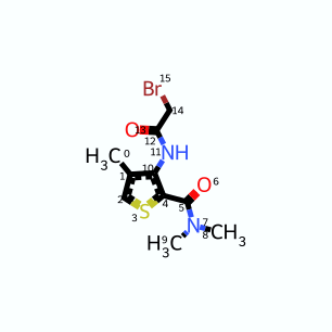 Cc1csc(C(=O)N(C)C)c1NC(=O)CBr